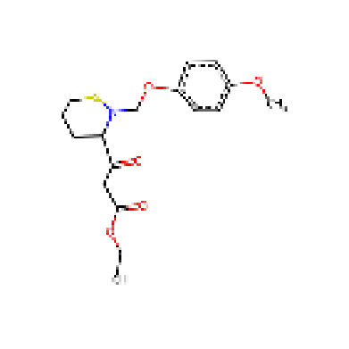 CCOC(=O)CC(=O)C1CCCSN1COc1ccc(OC)cc1